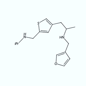 CC(C)NCc1cc(CC(C)NCc2ccoc2)cs1